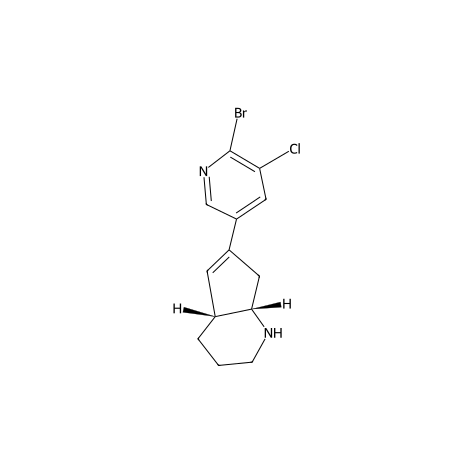 Clc1cc(C2=C[C@H]3CCCN[C@H]3C2)cnc1Br